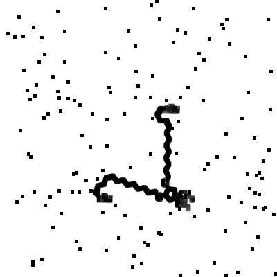 CCCC/C=C\C/C=C\CCCCCCCCO[C@H]1C[N+](C)(C)C[C@@H]1OCCCCCCCC/C=C\C/C=C\CCCC